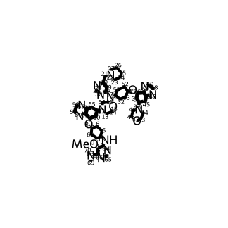 COc1c(N[C@H]2CC[C@@H](Oc3cc(N4CCOC(N(c5cc(CN6CCCCC6)ncn5)[C@H]5CC[C@@H](Oc6cc(N7CCOCC7)cc7nccnc67)CC5)C4)cc4nccnc34)CC2)ncnc1N(C)C